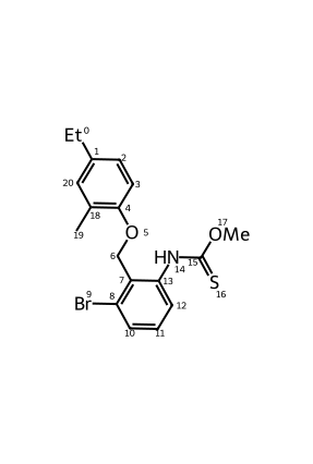 CCc1ccc(OCc2c(Br)cccc2NC(=S)OC)c(C)c1